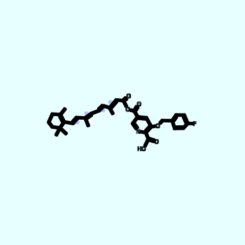 CC1=C(/C=C/C(C)=C/C=C/C(C)=C/C(=O)OC(=O)c2cnc(C(=O)O)c(OCc3ccc(F)cc3)c2)C(C)(C)CCC1